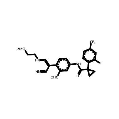 COCCN/C=C(\C=N)c1ccc(NC(=O)C2(c3ccc(C(F)(F)F)cc3F)CC2)cc1C=O